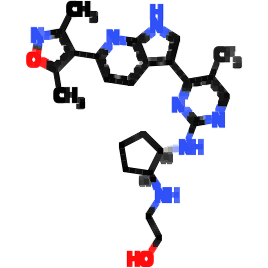 Cc1noc(C)c1-c1ccc2c(-c3nc(N[C@H]4CCC[C@@H]4NCCO)ncc3C(F)(F)F)c[nH]c2n1